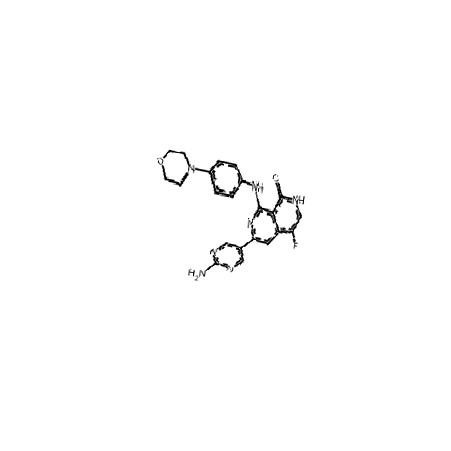 Nc1ncc(-c2cc3c(F)c[nH]c(=O)c3c(Nc3ccc(N4CCOCC4)cc3)n2)cn1